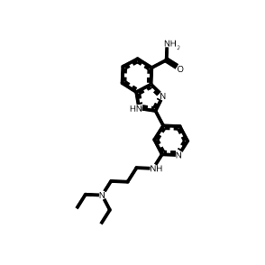 CCN(CC)CCCNc1cc(-c2nc3c(C(N)=O)cccc3[nH]2)ccn1